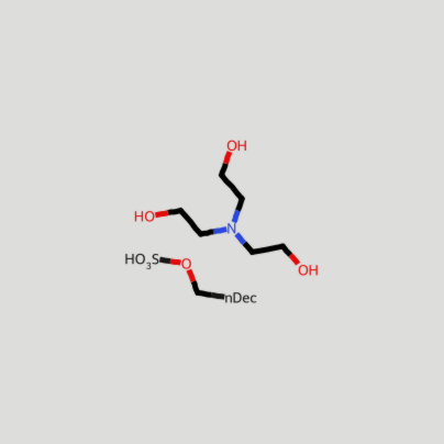 CCCCCCCCCCCOS(=O)(=O)O.OCCN(CCO)CCO